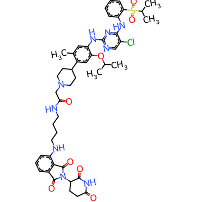 Cc1cc(Nc2ncc(Cl)c(Nc3ccccc3S(=O)(=O)C(C)C)n2)c(OC(C)C)cc1C1CCN(CC(=O)NCCCCNc2cccc3c2C(=O)N(C2CCC(=O)NC2=O)C3=O)CC1